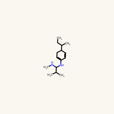 CCC(C)C1C=CC(NC(NC)C(C)C)=CC1